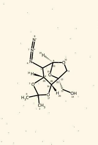 CC1(C)O[C@@H]2C(N=[N+]=[N-])[C@H]3OC[C@](CO)(O3)[C@@H]2O1